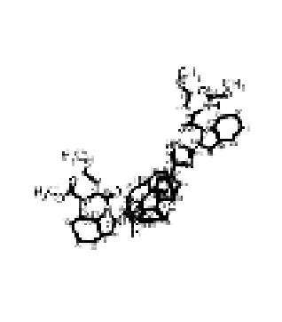 COC(=O)N[C@@H](CCSC)C(=O)N1C2CCCCC2C[C@H]1c1nc(C2=CC3=CC[C@@H]2CC[C@@H]2C=CC(=C(c4ccc(-c5c[nH]c([C@@H]6CC7CCCCC7N6C(=O)[C@H](CCSC)NC(=O)OC)n5)cc4)C2)CC3)c[nH]1